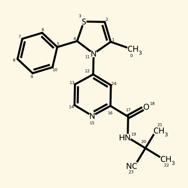 CC1=CSC(c2ccccc2)N1c1ccnc(C(=O)NC(C)(C)C#N)c1